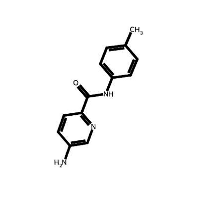 Cc1ccc(NC(=O)c2ccc(N)cn2)cc1